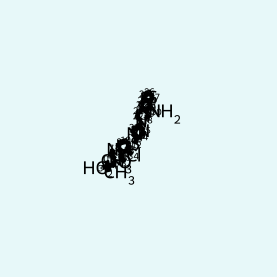 CC(C)(O)Cn1cnc2ccc(Sc3cnc(N4CCC5(CC4)Cc4ccsc4[C@H]5N)cn3)c(Cl)c2c1=O